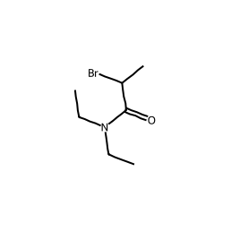 CCN(CC)C(=O)C(C)Br